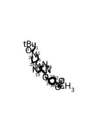 CC(C)(C)CC(=O)N1CCC(n2ncc3c(Oc4ccc(S(C)(=O)=O)cc4)ncnc32)CC1